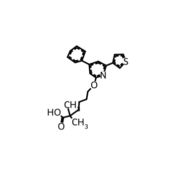 CC(C)(CCCCOc1cc(-c2ccccc2)cc(-c2ccsc2)n1)C(=O)O